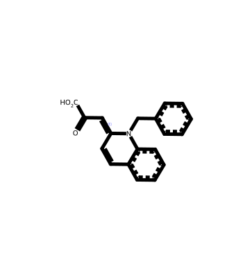 O=C(O)C(=O)/C=C1\C=Cc2ccccc2N1Cc1ccccc1